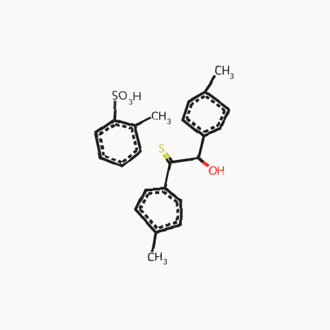 Cc1ccc(C(=S)C(O)c2ccc(C)cc2)cc1.Cc1ccccc1S(=O)(=O)O